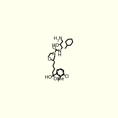 COC(O)(CCCC[C@@H]1CN(C(=O)N[C@@H](CC2CCCCC2)[C@@H](O)CN)CCO1)c1cccc(Cl)c1F